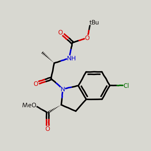 COC(=O)[C@H]1Cc2cc(Cl)ccc2N1C(=O)[C@H](C)NC(=O)OC(C)(C)C